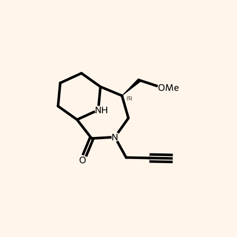 C#CCN1C[C@H](COC)C2CCCC(N2)C1=O